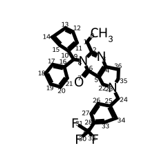 CCc1nc2c(c(=O)n1C(c1ccccc1)c1ccccc1)CN(Cc1ccc(C(F)(F)F)cc1)CC2